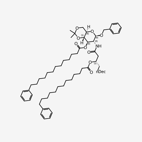 CCCCCCCCCCC[C@@H](CC(=O)N[C@H]1[C@H](OCc2ccccc2)O[C@@H]2COC(C)(C)O[C@H]2[C@@H]1OC(=O)CCCCCCCCCCCCc1ccccc1)OC(=O)CCCCCCCCCCCCc1ccccc1